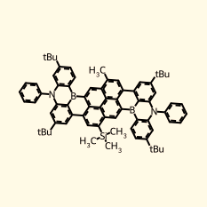 Cc1cc2c3c(cc4c([Si](C)(C)C)cc5c6c(cc1c3c46)B1c3ccc(C(C)(C)C)cc3N(c3ccccc3)c3cc(C(C)(C)C)cc-5c31)B1c3ccc(C(C)(C)C)cc3N(c3ccccc3)c3cc(C(C)(C)C)cc-2c31